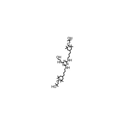 CC(C)(O)CON1C(C)(C)CC(CCCCNc2nc(NCCO)nc(NCCCCC3CC(C)(C)N(OCC(C)(C)O)C(C)(C)C3)n2)CC1(C)C